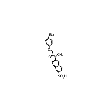 CCC(C)c1ccc(OCC(=O)N(C)c2ccc3cc(S(=O)(=O)O)ccc3c2)cc1